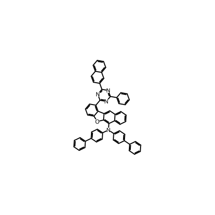 c1ccc(-c2ccc(N(c3ccc(-c4ccccc4)cc3)c3c4ccccc4cc4c3oc3cccc(-c5nc(-c6ccccc6)nc(-c6ccc7ccccc7c6)n5)c34)cc2)cc1